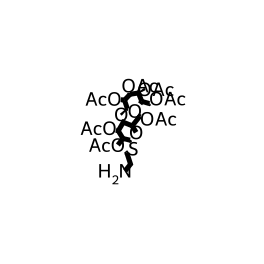 CC(=O)OCC1O[C@@H](SCCN)C(OC(C)=O)C(OC(C)=O)[C@@H]1O[C@@H]1OC(COC(C)=O)[C@H](OC(C)=O)C(OC(C)=O)C1OC(C)=O